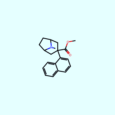 COC(=O)C1(c2cccc3ccccc23)CC2CCC(C1)N2C